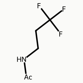 CC(=O)NCCC(F)(F)F